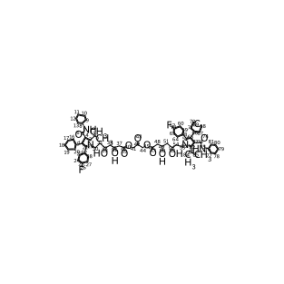 CC(C)c1c(C(=O)Nc2ccccc2)c(-c2ccccc2)c(-c2ccc(F)cc2)n1CC[C@@H](O)C[C@@H](O)CC(=O)OCC(=O)COC(=O)C[C@H](O)C[C@H](O)CCn1c(-c2ccc(F)cc2)c(-c2ccccc2)c(C(=O)Nc2ccccc2)c1C(C)C